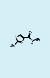 CC(C)NC(=O)c1csc(C(C)(C)C)n1